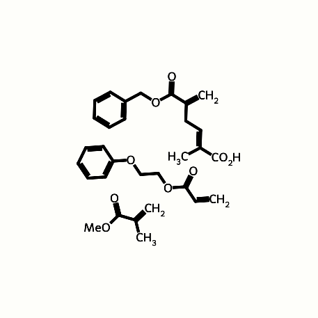 C=C(C)C(=O)OC.C=C(CC=C(C)C(=O)O)C(=O)OCc1ccccc1.C=CC(=O)OCCOc1ccccc1